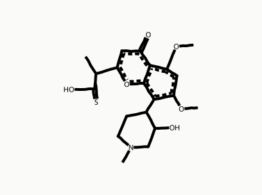 COc1cc(OC)c2c(=O)cc(C(C)C(O)=S)oc2c1C1CCN(C)CC1O